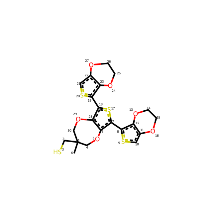 CC1(CS)COc2c(-c3scc4c3OCCO4)sc(-c3scc4c3OCCO4)c2OC1